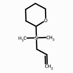 C=CC[Si](C)(C)C1CCCCO1